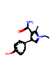 Cc1c(C(N)=O)c(-c2ccc(O)cc2)cn1C